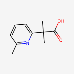 Cc1cccc(C(C)(C)C(=O)O)n1